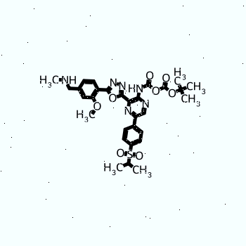 CNCc1ccc(-c2nnc(-c3nc(-c4ccc(S(=O)(=O)C(C)C)cc4)cnc3NC(=O)OC(=O)OC(C)(C)C)o2)c(OC)c1